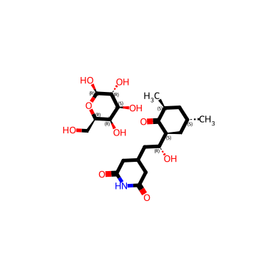 C[C@@H]1C[C@@H]([C@H](O)CC2CC(=O)NC(=O)C2)C(=O)[C@@H](C)C1.OC[C@H]1O[C@@H](O)[C@H](O)[C@@H](O)[C@H]1O